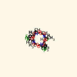 CC(C)C[C@H]1C(=O)O[C@H](C)C(=O)N(C)[C@@H](CCC(C)(C)F)C(=O)O[C@H](Cc2ccc(C(F)(F)F)cc2)C(=O)N(C)[C@@H](CC(C)C)C(=O)O[C@H](C)C(=O)N(C)[C@@H](CC(C)(C)F)C(=O)O[C@H](Cc2ccc(C(F)(F)F)cc2)C(=O)N1C